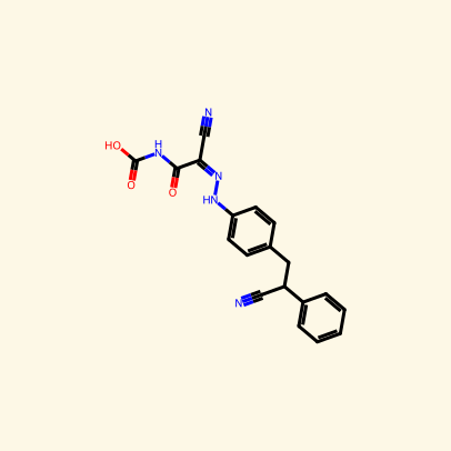 N#CC(=NNc1ccc(CC(C#N)c2ccccc2)cc1)C(=O)NC(=O)O